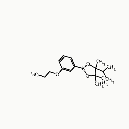 CC(C)C1(C)OB(c2cccc(OCCO)c2)OC1(C)C